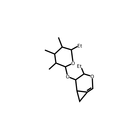 CCC1OC(OC2C(CC)OC=C3CC32)C(C)C(C)C1C